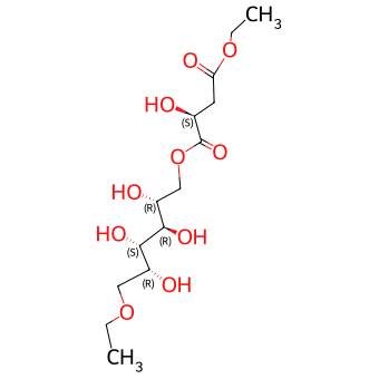 CCOC[C@@H](O)[C@H](O)[C@H](O)[C@H](O)COC(=O)[C@@H](O)CC(=O)OCC